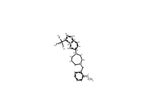 COc1ccccc1CN1CCCN(c2ccc3nnc(C(F)(F)F)n3n2)CC1